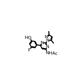 CC(=O)Nc1cc(-c2cc(O)cc(F)c2)nc(-n2nc(C)cc2C)n1